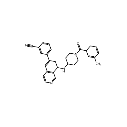 CC1=CC(C(=O)N2CCC(NC3CC(c4cccc(C#N)c4)=Cc4ccncc43)CC2)CC=C1